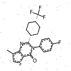 Cc1csc2c(=O)n(-c3ccc(F)cc3)c([C@H]3CC[C@@H](C(F)(F)F)CC3)nc12